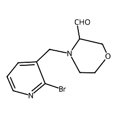 O=CC1COCCN1Cc1cccnc1Br